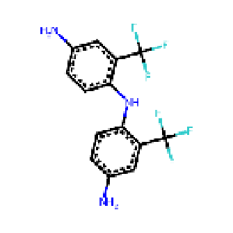 Nc1ccc(Nc2ccc(N)cc2C(F)(F)F)c(C(F)(F)F)c1